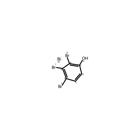 Oc1ccc(Br)c(Br)c1Br.[Bi]